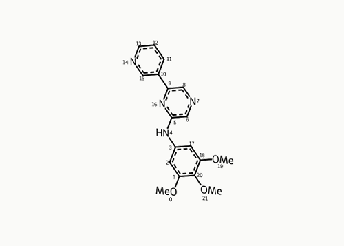 COc1cc(Nc2cncc(-c3cccnc3)n2)cc(OC)c1OC